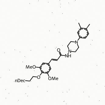 CCCCCCCCCCCCOc1c(OC)cc(C=CC(=O)NN2CCN(c3ccc(C)c(C)c3)CC2)cc1OC